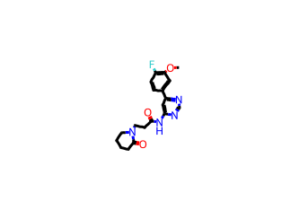 COc1cc(-c2cc(NC(=O)CCN3CCCCC3=O)ncn2)ccc1F